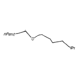 CCCCC[CH]OCCCC(C)C